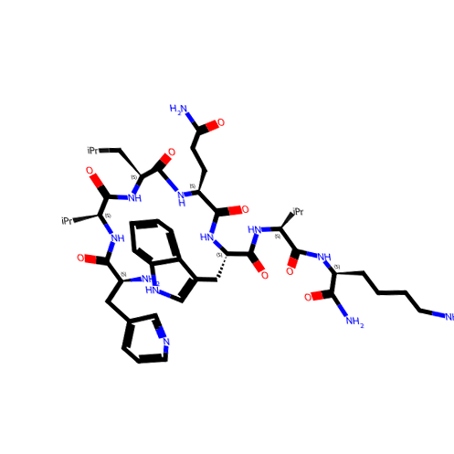 CC(C)C[C@H](NC(=O)[C@@H](NC(=O)[C@@H](N)Cc1cccnc1)C(C)C)C(=O)N[C@@H](CCC(N)=O)C(=O)N[C@@H](Cc1c[nH]c2ccccc12)C(=O)N[C@H](C(=O)N[C@@H](CCCCN)C(N)=O)C(C)C